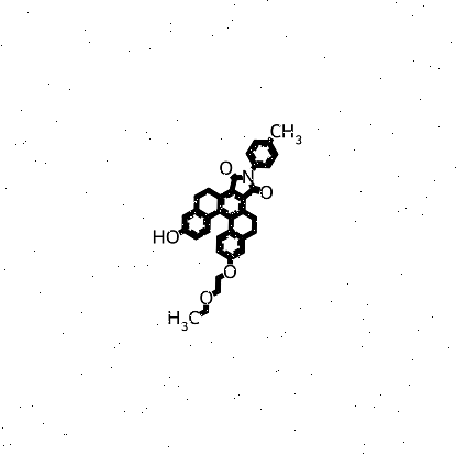 CCOCCOc1ccc2c(c1)CCc1c3c(c4c(c1-2)-c1ccc(O)cc1CC4)C(=O)N(c1ccc(C)cc1)C3=O